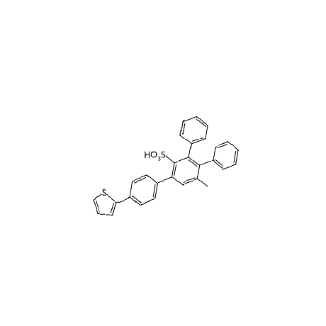 Cc1cc(-c2ccc(-c3cccs3)cc2)c(S(=O)(=O)O)c(-c2ccccc2)c1-c1ccccc1